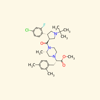 COC(=O)[C@H](Cc1ccc(C)cc1C)N1CCN(C(=O)[C@@H]2CN(C(C)(C)C)C[C@H]2c2ccc(Cl)cc2F)[C@@H](C)C1